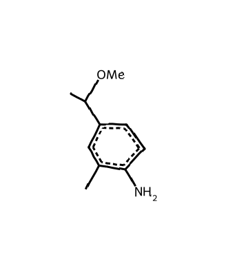 COC(C)c1ccc(N)c(C)c1